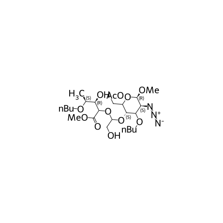 CCCCOC1[C@H](OC(CO)OC(C(=O)OC)[C@H](O)[C@H](C)OCCCC)C(COC(C)=O)O[C@@H](OC)[C@H]1N=[N+]=[N-]